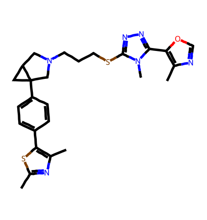 Cc1nc(C)c(-c2ccc(C34CC3CN(CCCSc3nnc(-c5ocnc5C)n3C)C4)cc2)s1